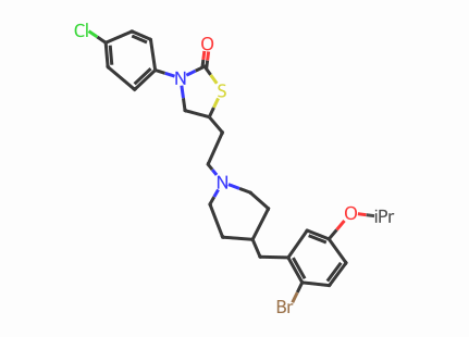 CC(C)Oc1ccc(Br)c(CC2CCN(CCC3CN(c4ccc(Cl)cc4)C(=O)S3)CC2)c1